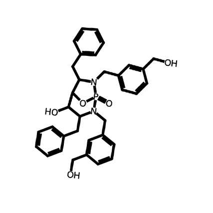 O=P12OC(C(O)C(Cc3ccccc3)N1Cc1cccc(CO)c1)C(Cc1ccccc1)N2Cc1cccc(CO)c1